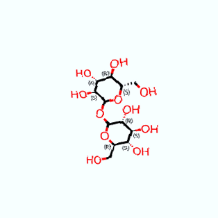 OC[C@@H]1OC(OC2O[C@H](CO)[C@@H](O)[C@H](O)[C@H]2O)[C@@H](O)[C@H](O)[C@H]1O